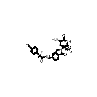 BC1CC(B)(N2Cc3cc(CNC(=O)C(F)(F)c4ccc(Cl)cc4)ccc3C2=O)C(=O)NC1=O